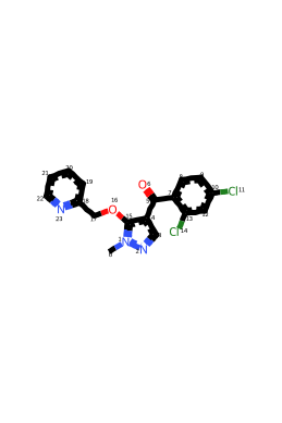 Cn1ncc(C(=O)c2ccc(Cl)cc2Cl)c1OCc1ccccn1